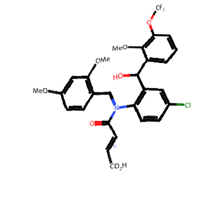 COc1ccc(CN(C(=O)/C=C/C(=O)O)c2ccc(Cl)cc2C(O)c2cccc(OC(F)(F)F)c2OC)c(OC)c1